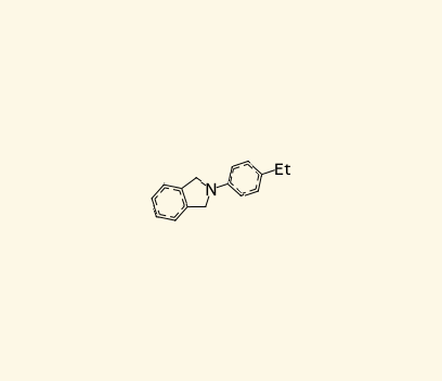 CCc1ccc(N2Cc3ccccc3C2)cc1